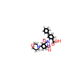 O=C(Nc1cc(-c2ccccc2)ccc1C(=O)O)c1cc(N2CCCOCC2)ccc1O